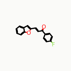 O=C(/C=C/c1cc2ccccc2o1)c1ccc(F)cc1